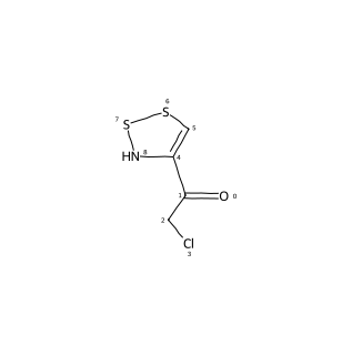 O=C(CCl)C1=CSSN1